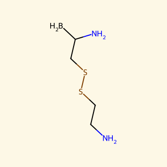 BC(N)CSSCCN